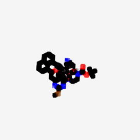 CSc1nc2c(c(N3CCN(C(=O)OC(C)(C)C)[C@@H](CC#N)C3)n1)COC(c1cccc3cccc(C#C[Si](C(C)C)(C(C)C)C(C)C)c13)C2